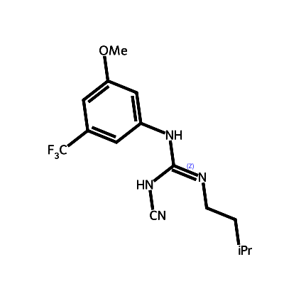 COc1cc(N/C(=N/CCC(C)C)NC#N)cc(C(F)(F)F)c1